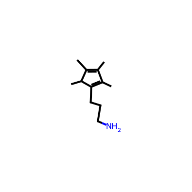 CC1=C(C)C(C)C(CCCN)=C1C